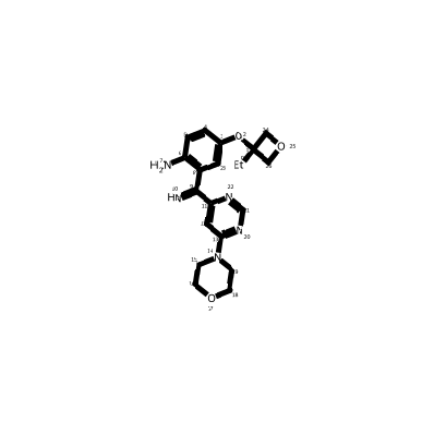 CCC1(Oc2ccc(N)c(C(=N)c3cc(N4CCOCC4)ncn3)c2)COC1